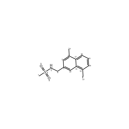 [CH2]c1cc(CNS(C)(=O)=O)cc2c(F)cccc12